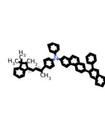 C=C1/C(=C\C=C(/C)c2ccc(N(c3ccccc3)c3ccc4c(ccc5cc(-c6cc7ccccc7cc6-c6ccccc6)ccc54)c3)cc2)c2ccccc2C1(C)C